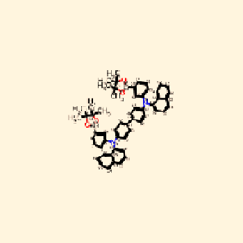 CC1(C)OB(c2cccc(N(c3ccc(-c4ccc(N(c5cccc(B6OC(C)(C)C(C)(C)O6)c5)c5cccc6ccccc56)cc4)cc3)c3cccc4ccccc34)c2)OC1(C)C